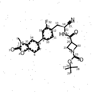 Cn1c(=O)oc2ccc(-c3ccc(C[C@@H](C#N)NC(=O)C4CN(C(=O)OC(C)(C)C)C4)c(F)c3)cc21